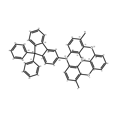 Cc1ccc2c3c1Oc1cccc4c1[SiH]3c1c(ccc(C)c1O4)N2c1ccc2c(c1)-c1ccccc1C2(c1ccccc1)c1ccccc1